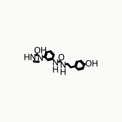 O=C(NCCc1ccc(O)cc1)Nc1cccc(N2CCNC2O)c1